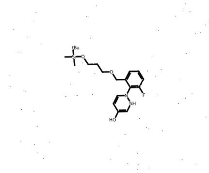 CC(C)(C)[Si](C)(C)OCCCOCc1cccc(F)c1N1C=CC(O)=CN1